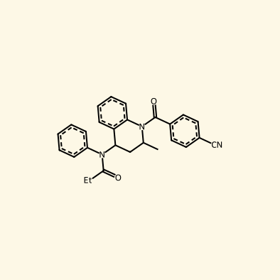 CCC(=O)N(c1ccccc1)C1CC(C)N(C(=O)c2ccc(C#N)cc2)c2ccccc21